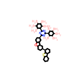 Bc1c(B)c(B)c(-c2nc(-c3ccc4oc5ccc(-c6cccc7c6sc6ccccc67)cc5c4c3)nc(-c3c(B)c(B)c(B)c(B)c3B)n2)c(B)c1B